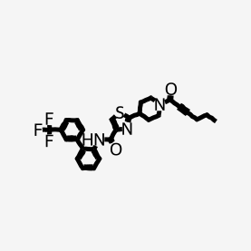 CCCC#CC(=O)N1CCC(c2nc(C(=O)Nc3ccccc3-c3cccc(C(F)(F)F)c3)cs2)CC1